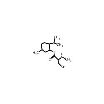 CN[C@@H](CS)C(=O)OC1CC(C)CCC1C(C)C